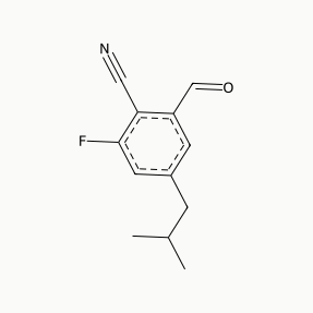 CC(C)Cc1cc(F)c(C#N)c(C=O)c1